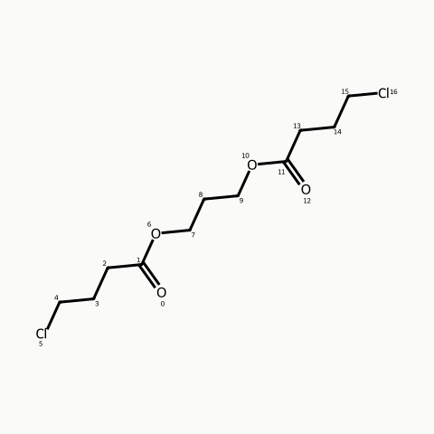 O=C(CCCCl)OCCCOC(=O)CCCCl